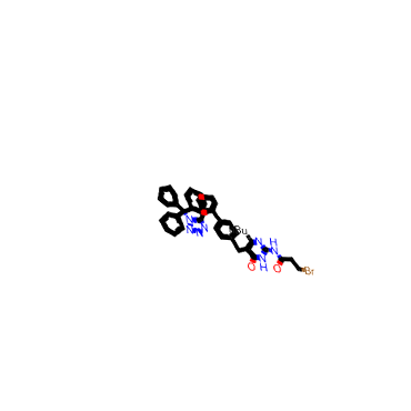 CCCCc1nc(NC(=O)CCBr)[nH]c(=O)c1Cc1ccc(-c2ccccc2-c2nnnn2C(c2ccccc2)(c2ccccc2)c2ccccc2)cc1